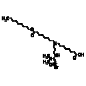 CCCCCCCCCOC(=O)CCCCCCCN(CCCCCCCC(=O)O)CCCNC(=C[N+](=O)[O-])N(C)C